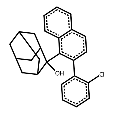 OC1(c2c(-c3ccccc3Cl)ccc3ccccc23)C2CC3CC(C2)CC1C3